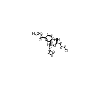 COC(=O)c1ccc(NC(=O)CCCCl)c(NC[C@@H]2CCO2)n1